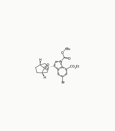 CCOC(=O)c1cc(Br)cc2c([C@H]3C[C@H]4CC[C@@H](C3)S4(=O)=O)cn(C(=O)OC(C)(C)C)c12